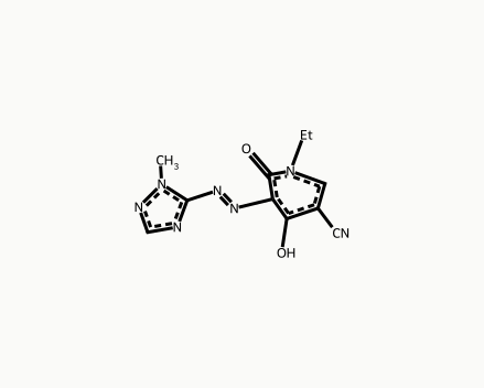 CCn1cc(C#N)c(O)c(N=Nc2ncnn2C)c1=O